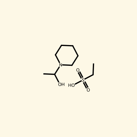 CC(O)N1CCCCC1.CCS(=O)(=O)O